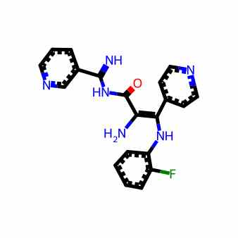 N=C(NC(=O)/C(N)=C(/Nc1ccccc1F)c1ccncc1)c1cccnc1